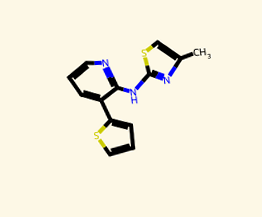 Cc1csc(Nc2ncccc2-c2cccs2)n1